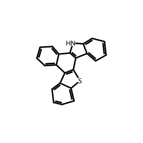 c1ccc2c(c1)[nH]c1c3ccccc3c3c4ccccc4sc3c21